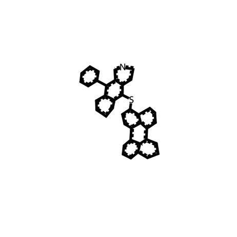 c1ccc(-c2c3ccccc3c(Sc3ccc4c5cccc6cccc(c7cccc3c74)c65)c3ccncc23)cc1